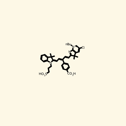 CCCC[n+]1cc(Cl)cc2c1N=C(/C=C/C(=C/C=C1/N(CCCS(=O)(=O)O)c3ccccc3C1(C)C)c1ccc(C(=O)O)cc1)C2(C)C